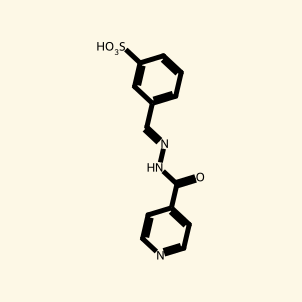 O=C(N/N=C/c1cccc(S(=O)(=O)O)c1)c1ccncc1